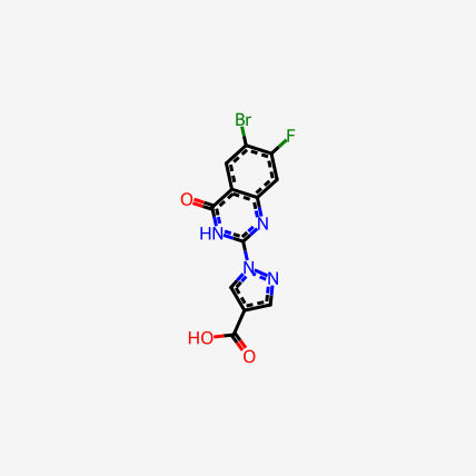 O=C(O)c1cnn(-c2nc3cc(F)c(Br)cc3c(=O)[nH]2)c1